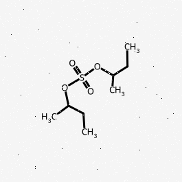 CCC(C)OS(=O)(=O)OC(C)CC